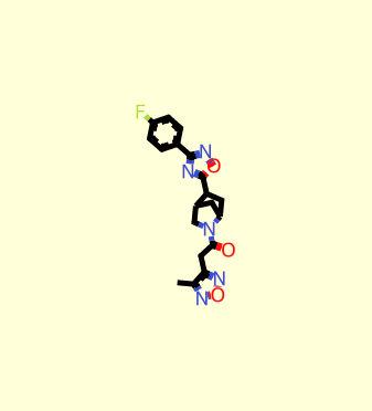 Cc1nonc1CC(=O)N1CC2CC1CC2c1nc(-c2ccc(F)cc2)no1